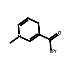 CCCC(=O)C1=CN(C)C=CC1